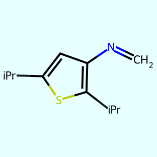 C=Nc1cc(C(C)C)sc1C(C)C